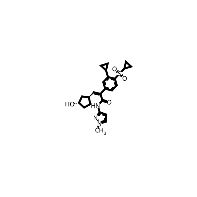 Cn1ccc(NC(=O)C(=C[C@H]2CC[C@H](O)C2)c2ccc(S(=O)(=O)C3CC3)c(C3CC3)c2)n1